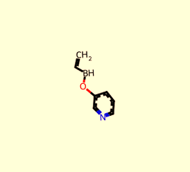 C=CBOc1cccnc1